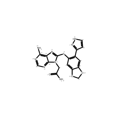 NC(=O)Cn1c(Sc2cc3c(cc2-c2cc[nH]n2)OCO3)nc2c(N)ncnc21